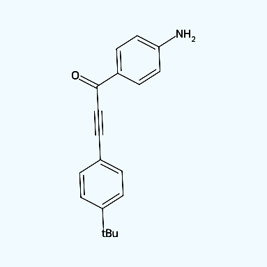 CC(C)(C)c1ccc(C#CC(=O)c2ccc(N)cc2)cc1